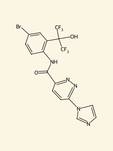 O=C(Nc1ccc(Br)cc1C(O)(C(F)(F)F)C(F)(F)F)c1ccc(-n2ccnc2)nn1